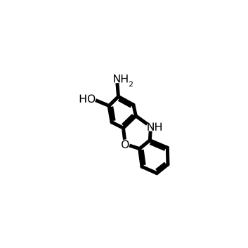 Nc1cc2c(cc1O)Oc1ccccc1N2